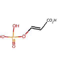 O=C(O)C=COP(=O)(O)O